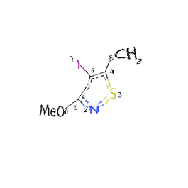 COc1nsc(C)c1I